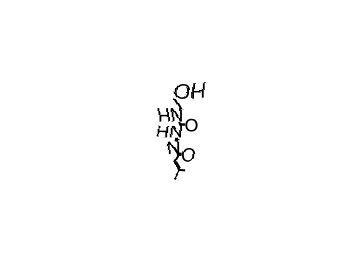 CC(C)=CC(=O)/N=C/NC(=O)NCCO